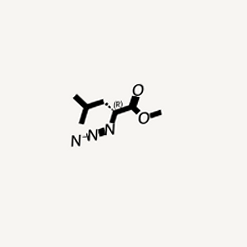 COC(=O)[C@@H](CC(C)C)N=[N+]=[N-]